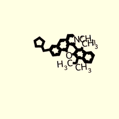 Cc1c2c(c(C(C)C)c3ccccc13)Oc1c3ccc(CC4CCCC4)cc3cc3cc[n+](C)c-2c13